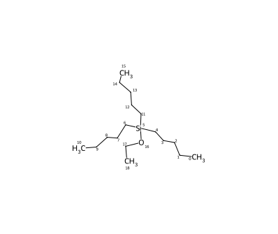 CCCCC[Si](CCCCC)(CCCCC)OCC